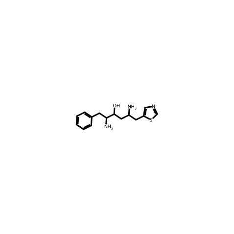 NC(Cc1cncs1)CC(O)C(N)Cc1ccccc1